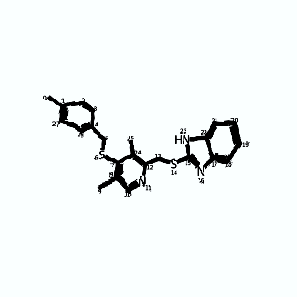 Cc1ccc(CSc2c(C)cnc(CSc3nc4ccccc4[nH]3)c2C)cc1